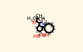 CN1CC(C(=O)C(C)(C)C)C2CCC(B(O)O)CC21C1CCCCCCCCC1